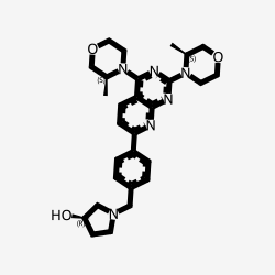 C[C@H]1COCCN1c1nc(N2CCOC[C@@H]2C)c2ccc(-c3ccc(CN4CC[C@@H](O)C4)cc3)nc2n1